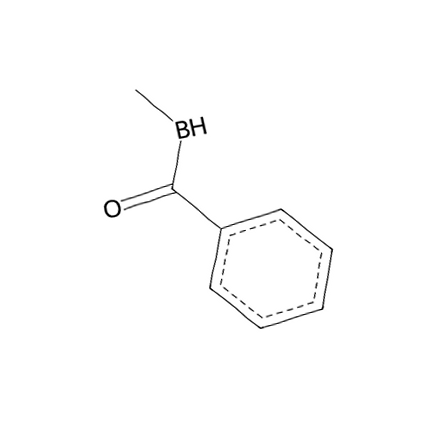 CBC(=O)c1ccccc1